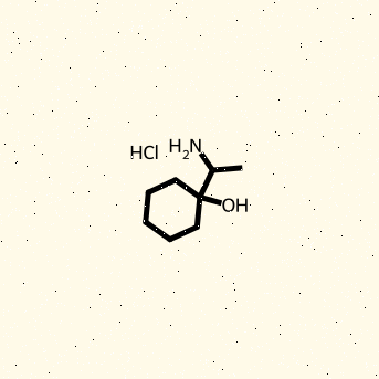 CC(N)C1(O)CCCCC1.Cl